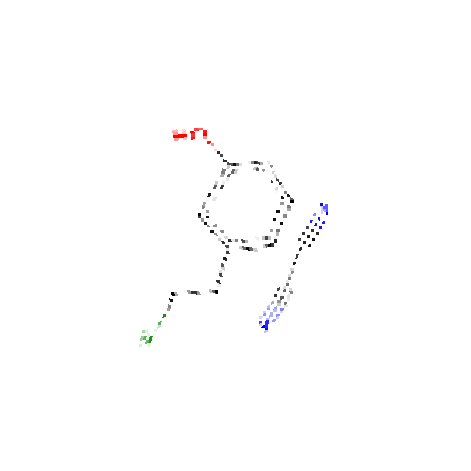 N#CC#N.Oc1cccc(CCBr)c1